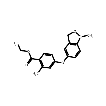 CCOC(=O)c1ccc(Oc2ccc3c(c2)COB3C)cc1C